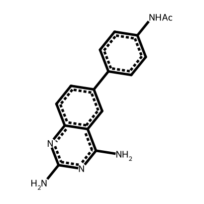 CC(=O)Nc1ccc(-c2ccc3nc(N)nc(N)c3c2)cc1